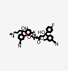 CN(C)CCC[C@@](O)(c1ccc(F)cc1)c1ccc(C#N)cc1COC(=O)CCC(=O)OCc1cc(C#N)ccc1[C@@](O)(CCCN(C)C)c1ccc(F)cc1